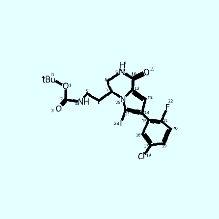 CC(C)(C)OC(=O)NCCC1CNC(=O)c2cc(-c3cc(Cl)ccc3F)c(I)n21